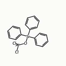 [Cl][Al]([Cl])[O][Si](c1ccccc1)(c1ccccc1)c1ccccc1